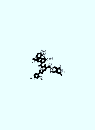 COc1ccc(-c2cc3cc(C(=O)NCc4c(C)cc(C)[nH]c4=O)c(C)c(C(C)c4cc(O)c5c6c4C[C@@H]4[C@@H]7C=C[C@H](O)[C@H](O5)[C@]67CCN4C)n3c2)c(OC)c1